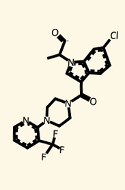 CC([C]=O)n1cc(C(=O)N2CCN(c3ncccc3C(F)(F)F)CC2)c2ccc(Cl)cc21